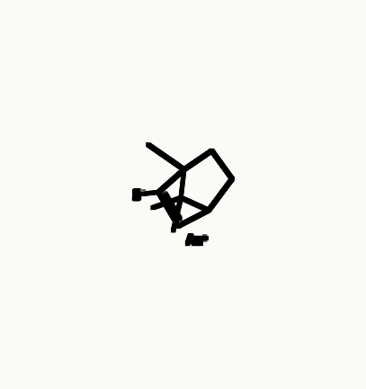 CC12CCC(C=C1[S-])C2(C)C.[Au+]